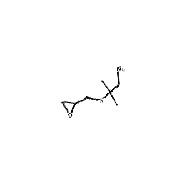 CC(C)(C)CC(C)(C)SCC1CO1